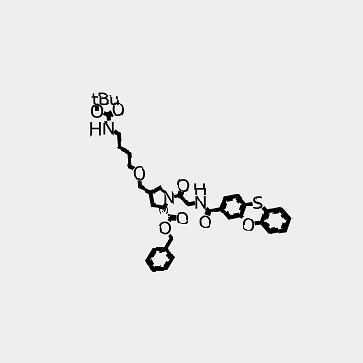 CC(C)(C)OC(=O)NCCCCOCC1C[C@@H](C(=O)OCc2ccccc2)N(C(=O)CNC(=O)c2ccc3c(c2)Oc2ccccc2S3)C1